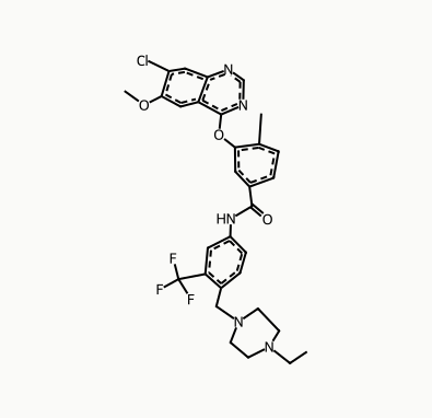 CCN1CCN(Cc2ccc(NC(=O)c3ccc(C)c(Oc4ncnc5cc(Cl)c(OC)cc45)c3)cc2C(F)(F)F)CC1